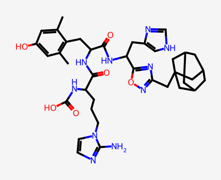 Cc1cc(O)cc(C)c1CC(NC(=O)C(CCCn1ccnc1N)NC(=O)O)C(=O)NC(Cc1c[nH]cn1)c1nc(CC23CC4CC(CC(C4)C2)C3)no1